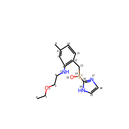 CCOCCNc1cc(C)ccc1C[S+]([O-])c1ncc[nH]1